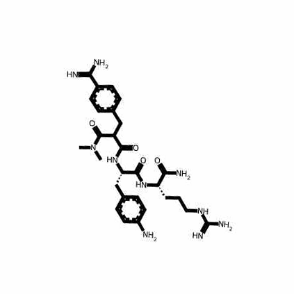 CN(C)C(=O)C(Cc1ccc(C(=N)N)cc1)C(=O)N[C@@H](Cc1ccc(N)cc1)C(=O)N[C@@H](CCCNC(=N)N)C(N)=O